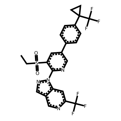 CCS(=O)(=O)c1cc(-c2ccc(C3(C(F)(F)F)CC3)cc2)cnc1-n1ncc2cnc(C(F)(F)F)cc21